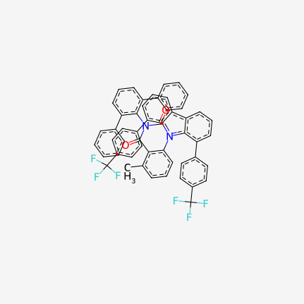 Cc1cccc(-n2c3c(-c4ccc(C(F)(F)F)cc4)cccc3c3cccc(-c4ccc(C(F)(F)F)cc4)c32)c1C(=O)N(C=O)c1c(-c2ccccc2)cccc1-c1ccccc1